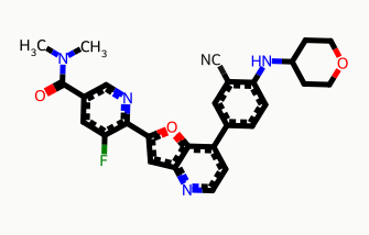 CN(C)C(=O)c1cnc(-c2cc3nccc(-c4ccc(NC5CCOCC5)c(C#N)c4)c3o2)c(F)c1